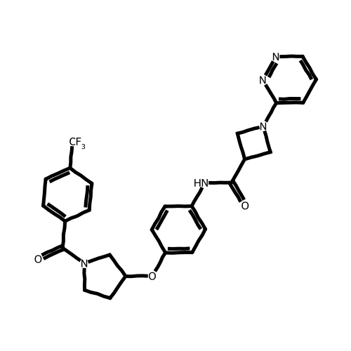 O=C(Nc1ccc(OC2CCN(C(=O)c3ccc(C(F)(F)F)cc3)C2)cc1)C1CN(c2cccnn2)C1